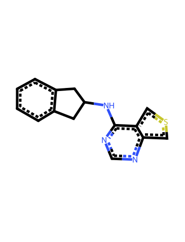 c1ccc2c(c1)CC(Nc1ncnc3cscc13)C2